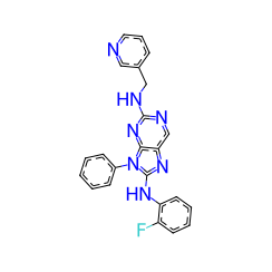 Fc1ccccc1Nc1nc2cnc(NCc3cccnc3)nc2n1-c1ccccc1